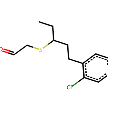 [CH2]CC(CCc1ccccc1Cl)SCC=O